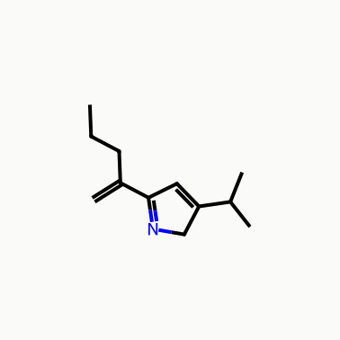 C=C(CCC)C1=NCC(C(C)C)=C1